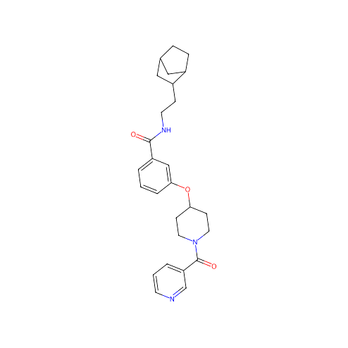 O=C(NCCC1CC2CCC1C2)c1cccc(OC2CCN(C(=O)c3cccnc3)CC2)c1